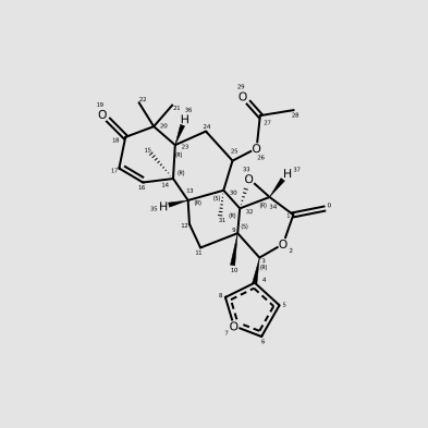 C=C1O[C@@H](c2ccoc2)[C@]2(C)CC[C@@H]3[C@@]4(C)C=CC(=O)C(C)(C)[C@@H]4CC(OC(C)=O)[C@@]3(C)[C@]23O[C@H]13